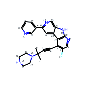 CC(C)(C#Cc1c(F)cnc2[nH]c3cnc(-c4cccnc4)cc3c12)N1CCNCC1